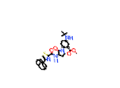 COC(=O)[C@@H]1C[C@H](NC(C)(C)C)CC[C@@H]1N1CC[C@H](NC(=O)c2nc(C34CC5CC(CC(C5)C3)C4)cs2)C1=O